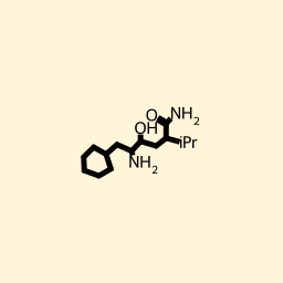 CC(C)C(CC(O)C(N)CC1CCCCC1)C(N)=O